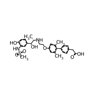 Cc1cc(OCCN[C@@H](C)[C@@H](O)c2ccc(O)c(NS(C)(=O)=O)c2)cc(C)c1-c1ccc(CC(=O)O)cc1